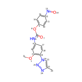 COc1cc(NC(=O)Oc2ccc(N=O)cc2)ccc1-n1cc(C)nn1